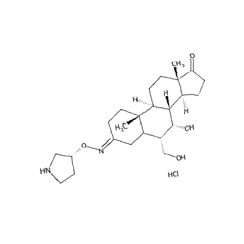 C[C@]12CCC(=NO[C@@H]3CCNC3)CC1[C@@H](CO)[C@@H](O)[C@@H]1[C@@H]2CC[C@]2(C)C(=O)CC[C@@H]12.Cl